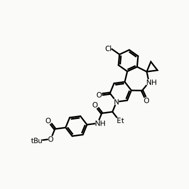 CCC(C(=O)Nc1ccc(C(=O)OC(C)(C)C)cc1)n1cc2c(cc1=O)-c1cc(Cl)ccc1C1(CC1)NC2=O